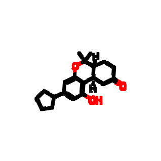 CC1(C)Oc2cc(C3CCCC3)cc(O)c2[C@@H]2CC(=O)CC[C@H]21